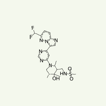 CC1C(CNS(C)(=O)=O)C(C)(O)C(C)CN1c1cc(-c2cnc3ccc(C(F)F)nn23)ncn1